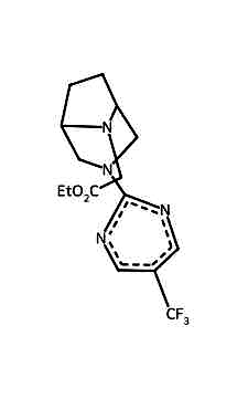 CCOC(=O)CN1C2CCC1CN(c1ncc(C(F)(F)F)cn1)C2